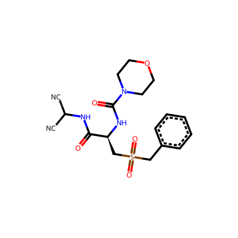 N#CC(C#N)NC(=O)[C@H](CS(=O)(=O)Cc1ccccc1)NC(=O)N1CCOCC1